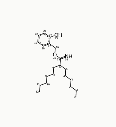 CCCCCCC(CCCCCC)C(=N)OCc1ccccc1O